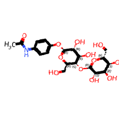 CC(=O)Nc1ccc(O[C@H]2O[C@H](CO)[C@@H](O[C@H]3O[C@H](CO)[C@@H](O)[C@@H](O)[C@@H]3O)[C@H](O)[C@H]2O)cc1